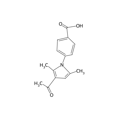 CC(=O)c1cc(C)n(-c2ccc(C(=O)O)cc2)c1C